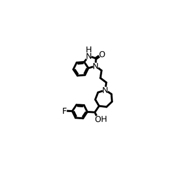 O=c1[nH]c2ccccc2n1CCCN1CCCC(C(O)c2ccc(F)cc2)CC1